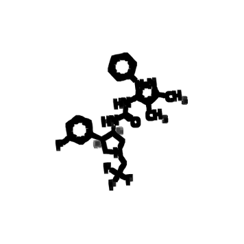 Cc1nn(-c2ccccc2)c(NC(=O)N[C@@H]2CN(CC(F)(F)F)C[C@H]2c2cccc(F)c2)c1C